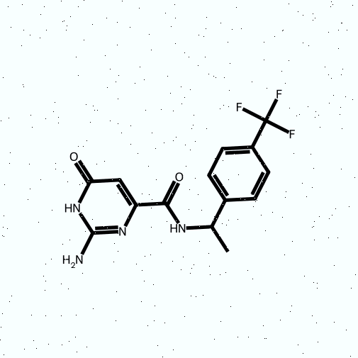 CC(NC(=O)c1cc(=O)[nH]c(N)n1)c1ccc(C(F)(F)F)cc1